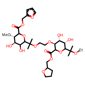 CCOC(C)(C)C1OC(C(=O)OCC2CCCO2)[C@@H](OCCOC(C)(C)C2OC(C(=O)OCc3ccco3)[C@@H](OC)[C@H](O)C2O)[C@H](O)[C@@H]1O